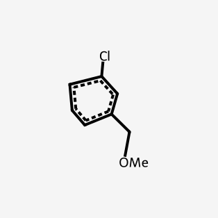 COCc1cccc(Cl)c1